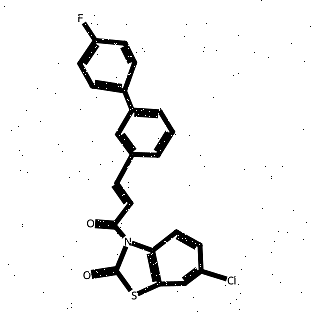 O=C(C=Cc1cccc(-c2ccc(F)cc2)c1)n1c(=O)sc2cc(Cl)ccc21